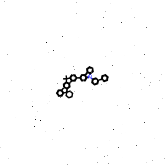 CC1(C)c2ccc(-c3ccc4c(c3)c3ccccc3n4-c3cccc(-c4ccccc4)c3)cc2-c2cc3c(cc21)-c1ccccc1C31CCCCC1